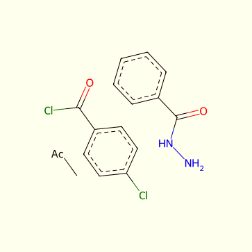 CC(C)=O.NNC(=O)c1ccccc1.O=C(Cl)c1ccc(Cl)cc1